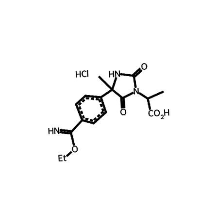 CCOC(=N)c1ccc(C2(C)NC(=O)N(C(C)C(=O)O)C2=O)cc1.Cl